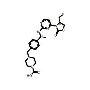 C[C@H](Nc1nccc(N2C(=O)OC[C@@H]2CF)n1)c1ccc(CN2CCN(C(=O)O)CC2)cc1